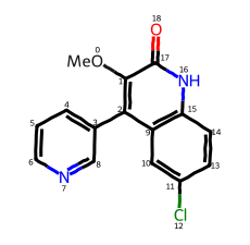 COc1c(-c2cccnc2)c2cc(Cl)ccc2[nH]c1=O